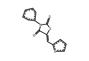 O=C1C(=Cc2cccs2)SC(=S)N1c1ccccc1